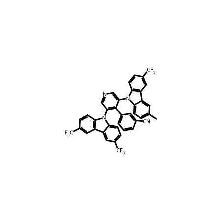 Cc1ccc2c(c1)c1cc(C(F)(F)F)ccc1n2-c1cncc(-n2c3ccc(C(F)(F)F)cc3c3cc(C(F)(F)F)ccc32)c1-c1cccc(C#N)c1